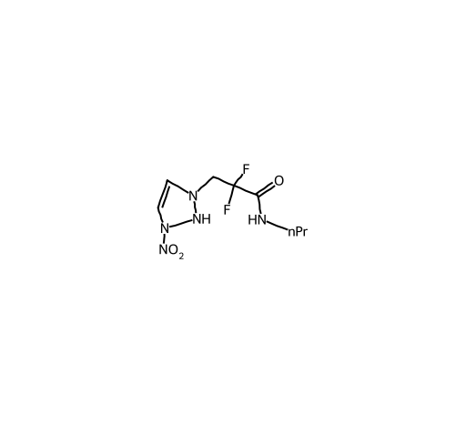 CCCNC(=O)C(F)(F)CN1C=CN([N+](=O)[O-])N1